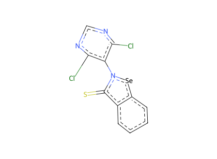 S=c1c2ccccc2[se]n1-c1c(Cl)ncnc1Cl